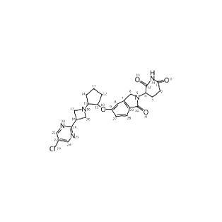 O=C1CCC(N2Cc3cc(OC4CCCC4N4CC(c5ncc(Cl)cn5)C4)ccc3C2=O)C(=O)N1